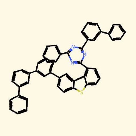 c1ccc(-c2cccc(-c3cccc(-c4ccc5sc6cccc(-c7nc(-c8ccccc8)nc(-c8cccc(-c9ccccc9)c8)n7)c6c5c4)c3)c2)cc1